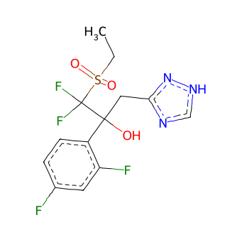 CCS(=O)(=O)C(F)(F)C(O)(Cc1nc[nH]n1)c1ccc(F)cc1F